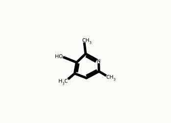 Cc1cc(C)c(O)c(C)n1